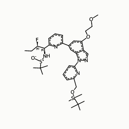 CC[C@@H](F)[C@H](N[S+]([O-])C(C)(C)C)c1cccc(-c2cc(OCCOC)c3cnn(-c4cccc(CO[Si](C)(C)C(C)(C)C)n4)c3c2)n1